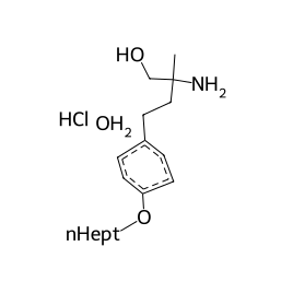 CCCCCCCOc1ccc(CCC(C)(N)CO)cc1.Cl.O